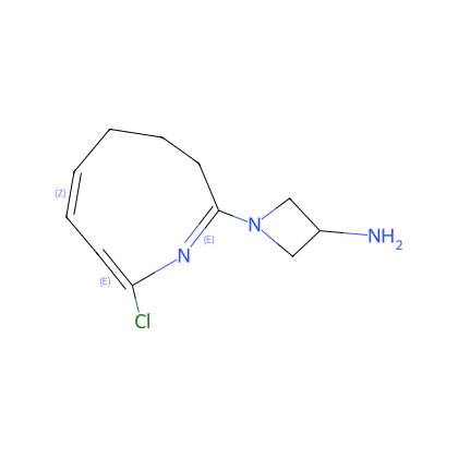 NC1CN(/C2=N/C(Cl)=C\C=C/CCC2)C1